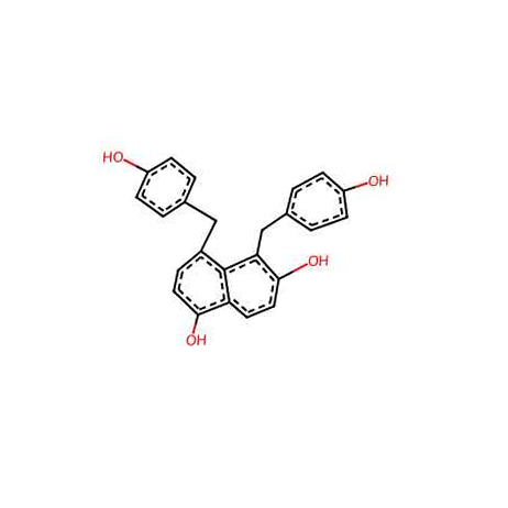 Oc1ccc(Cc2ccc(O)c3ccc(O)c(Cc4ccc(O)cc4)c23)cc1